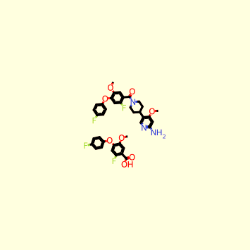 COc1cc(C(=O)N2CCC(c3cnc(N)cc3OC)CC2)c(F)cc1Oc1ccc(F)cc1.COc1cc(C(=O)O)c(F)cc1Oc1ccc(F)cc1